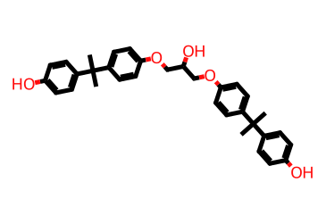 CC(C)(c1ccc(O)cc1)c1ccc(OCC(O)COc2ccc(C(C)(C)c3ccc(O)cc3)cc2)cc1